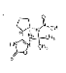 CC(C)(C)N(C(=O)O)[C@H]1CCC[C@H]1c1noc(=S)[nH]1